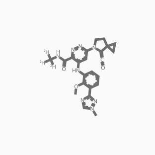 [2H]C([2H])([2H])NC(=O)c1nnc(N2CCC3(CC3)C2=C=O)cc1Nc1cccc(-c2ncn(C)n2)c1OC